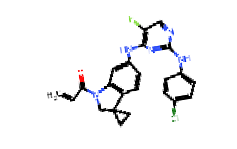 C=CC(=O)N1CC2(CC2)c2ccc(Nc3nc(Nc4ccc(Cl)cc4)ncc3F)cc21